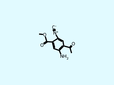 [C-]#[N+]c1cc(C(C)=O)c(N)cc1C(=O)OC